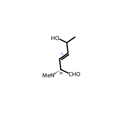 CN[C@@H](C=O)/C=C/C(C)O